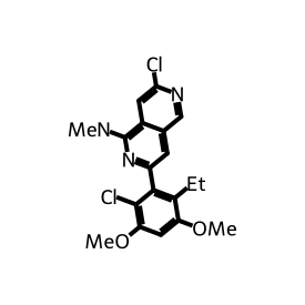 CCc1c(OC)cc(OC)c(Cl)c1-c1cc2cnc(Cl)cc2c(NC)n1